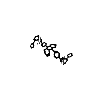 C1=C(c2cn3cccc(-c4ccccc4)c3n2)CCC(c2c3ccccc3c(-c3ccc(-c4cn5cccc(-c6ccccc6)c5n4)cc3)c3ccccc23)=C1